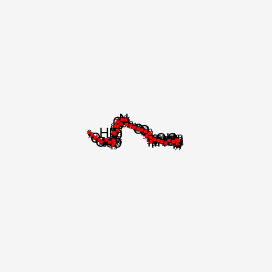 CCCCOCCOc1ccc(-c2cc(C)c(OC)c(/C=C/C(=O)Nc3ccc([S+]([O-])Cc4c(C)ncn4CCCCCCOCCOc4ccc(-c5ccc(F)c(/C=C/C(O)Nc6ccc([S+]([O-])Cc7c(C)ncn7CC)cc6)c5)cc4)cc3)c2)cc1